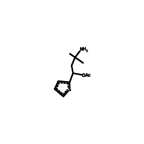 CC(=O)OC(CC(C)(C)N)c1cccs1